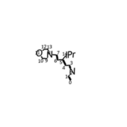 C=C\N=C/C=C(/C=C/N1CCOCC1)C(C)C